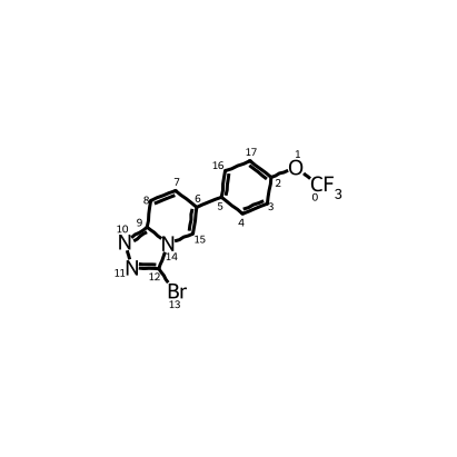 FC(F)(F)Oc1ccc(-c2ccc3nnc(Br)n3c2)cc1